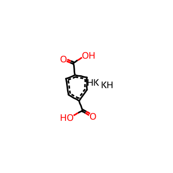 O=C(O)c1ccc(C(=O)O)cc1.[KH].[KH]